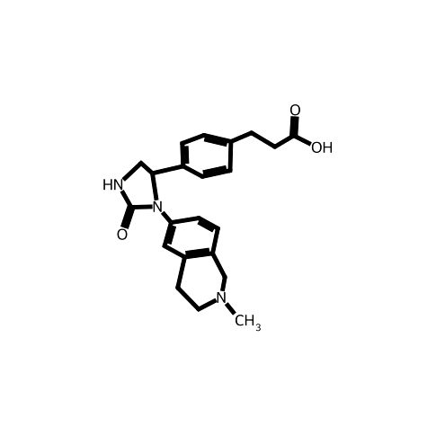 CN1CCc2cc(N3C(=O)NCC3c3ccc(CCC(=O)O)cc3)ccc2C1